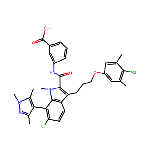 Cc1cc(OCCCc2c(C(=O)Nc3cccc(C(=O)O)c3)n(C)c3c(-c4c(C)nn(C)c4C)c(Cl)ccc23)cc(C)c1Cl